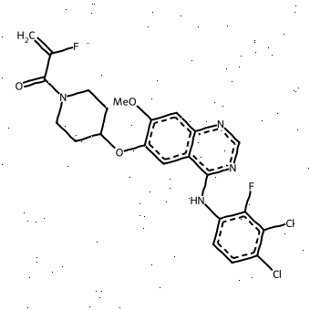 C=C(F)C(=O)N1CCC(Oc2cc3c(Nc4ccc(Cl)c(Cl)c4F)ncnc3cc2OC)CC1